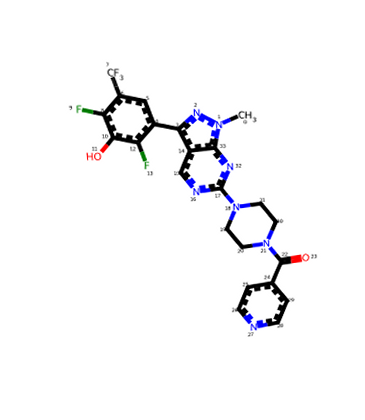 Cn1nc(-c2cc(C(F)(F)F)c(F)c(O)c2F)c2cnc(N3CCN(C(=O)c4ccncc4)CC3)nc21